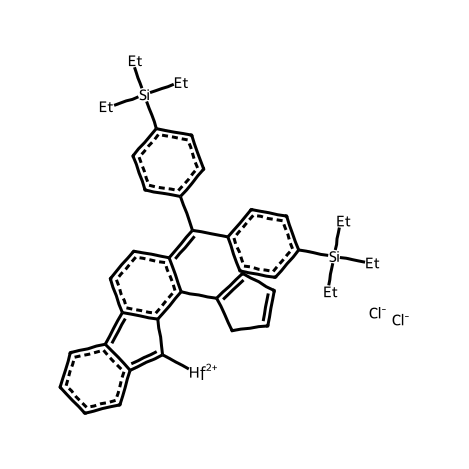 CC[Si](CC)(CC)c1ccc(C(c2ccc([Si](CC)(CC)CC)cc2)=c2ccc3c(c2C2=CC=CC2)[C]([Hf+2])=c2ccccc2=3)cc1.[Cl-].[Cl-]